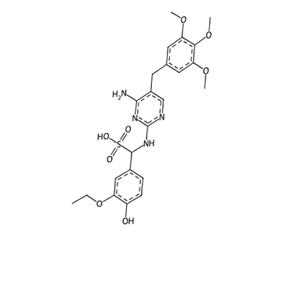 CCOc1cc(C(Nc2ncc(Cc3cc(OC)c(OC)c(OC)c3)c(N)n2)S(=O)(=O)O)ccc1O